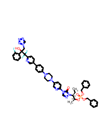 CC[C@@H]([C@H](C)OP(=O)(OCc1ccccc1)OCc1ccccc1)n1ncn(-c2ccc(N3CCN(c4ccc(-c5ccc(C(F)(F)C(O)(Cn6cnnn6)c6ccccc6F)nc5)cc4)CC3)cn2)c1=O